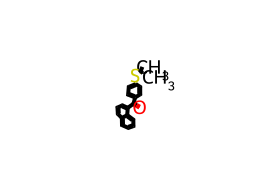 CC(C)Sc1ccc(C(=O)c2cccc3ccccc23)cc1